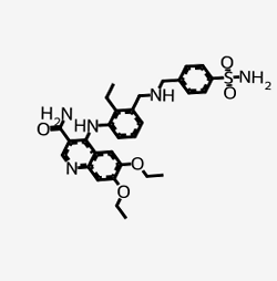 CCOc1cc2ncc(C(N)=O)c(Nc3cccc(CNCc4ccc(S(N)(=O)=O)cc4)c3CC)c2cc1OCC